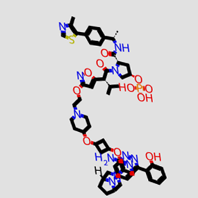 Cc1ncsc1-c1ccc([C@H](C)NC(=O)[C@@H]2C[C@@H](OP(=O)(O)O)CN2C(=O)[C@@H](c2cc(OCCN3CCC(OC4CC(Oc5cc(N6C7CC[C@@H]6CN(c6cc(-c8ccccc8O)nnc6N)C7)ccn5)C4)CC3)no2)C(C)C)cc1